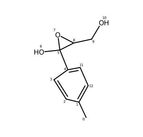 Cc1ccc(C2(O)OC2CO)cc1